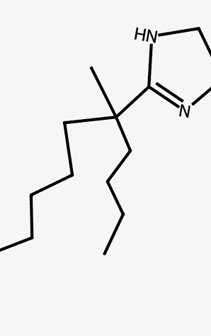 CCCCCCC(C)(CCCC)C1=NCCN1